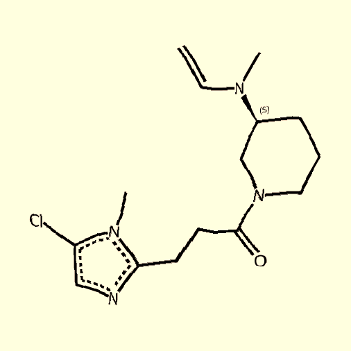 C=CN(C)[C@H]1CCCN(C(=O)CCc2ncc(Cl)n2C)C1